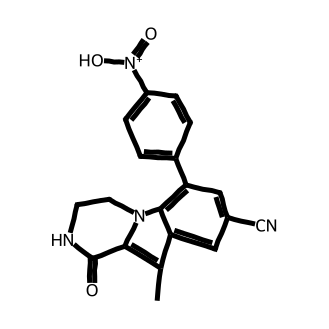 Cc1c2n(c3c(-c4ccc([N+](=O)O)cc4)cc(C#N)cc13)CCNC2=O